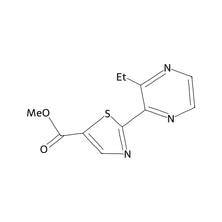 CCc1nccnc1-c1ncc(C(=O)OC)s1